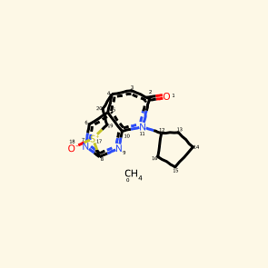 C.O=c1cc2c3cnc(nc3n1C1CCCC1)[S+]([O-])CC2